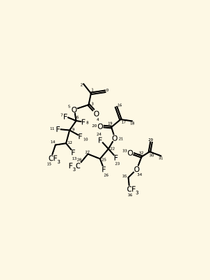 C=C(C)C(=O)OC(F)(F)C(F)(F)C(F)CC(F)(F)F.C=C(C)C(=O)OC(F)(F)C(F)CC(F)(F)F.C=C(C)C(=O)OCC(F)(F)F